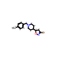 CC(C)(C)c1ccc(CN2CCC(C3CC(Br)=NO3)CC2)cc1